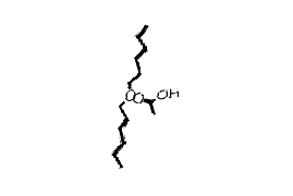 CC(=O)O.CCCCCCOCCCCCC